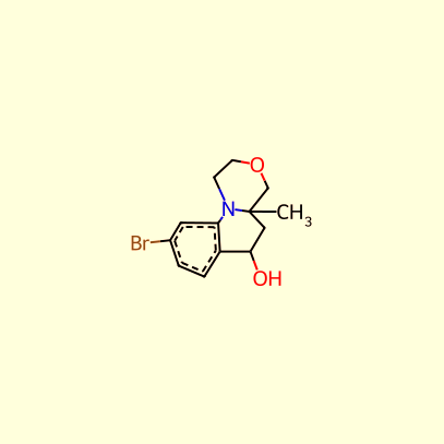 CC12COCCN1c1cc(Br)ccc1C(O)C2